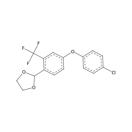 FC(F)(F)c1cc(Oc2ccc(Cl)cc2)ccc1C1OCCO1